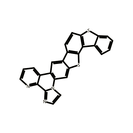 c1ccc2c(c1)sc1ccc3c4cc5c6cccnc6c6nccn6c5cc4sc3c12